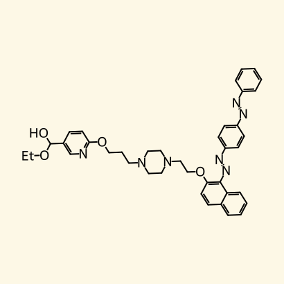 CCOC(O)c1ccc(OCCCN2CCN(CCOc3ccc4ccccc4c3/N=N/c3ccc(/N=N/c4ccccc4)cc3)CC2)nc1